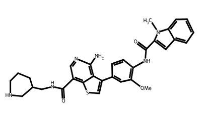 COc1cc(-c2csc3c(C(=O)NCC4CCCNC4)cnc(N)c23)ccc1NC(=O)c1cc2ccccc2n1C